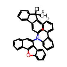 CC1(C)c2ccccc2-c2cc(N(c3ccccc3-c3ccccc3)c3cc4ccccc4c4oc5ccccc5c34)ccc21